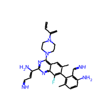 C=CC(=C)N1CCN(c2nc(/C(N)=C/C=N)nc3c(F)c(-c4c(C)ccc(N)c4C=N)c(C)cc23)CC1